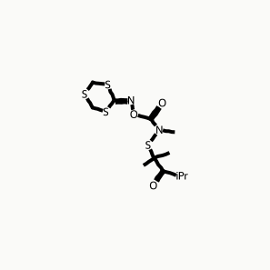 CC(C)C(=O)C(C)(C)SN(C)C(=O)ON=C1SCSCS1